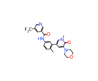 Cc1ccc(NC(=O)c2cncc(C(F)(F)F)c2)cc1-c1cc(N2CCOCC2)c(=O)n(C)c1